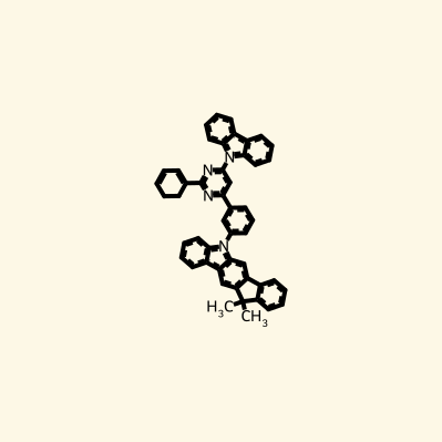 CC1(C)c2ccccc2-c2cc3c(cc21)c1ccccc1n3-c1cccc(-c2cc(-n3c4ccccc4c4ccccc43)nc(C3=CC=CCC3)n2)c1